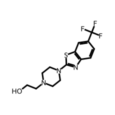 OCCN1CCN(c2nc3ccc(C(F)(F)F)cc3s2)CC1